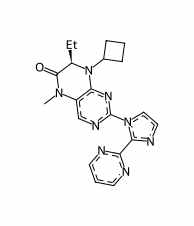 CC[C@@H]1C(=O)N(C)c2cnc(-n3ccnc3-c3ncccn3)nc2N1C1CCC1